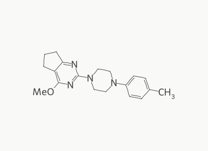 COc1nc(N2CCN(c3ccc(C)cc3)CC2)nc2c1CCC2